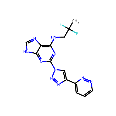 CC(F)(F)CNc1nc(-n2cc(-c3cccnn3)nn2)nc2[nH]cnc12